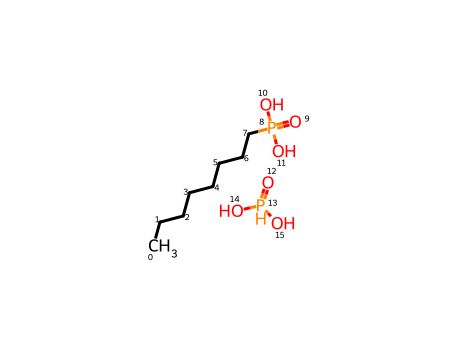 CCCCCCCCP(=O)(O)O.O=[PH](O)O